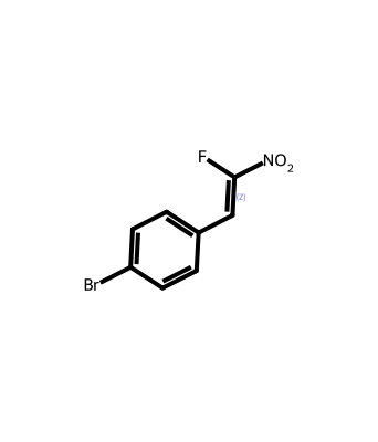 O=[N+]([O-])/C(F)=C/c1ccc(Br)cc1